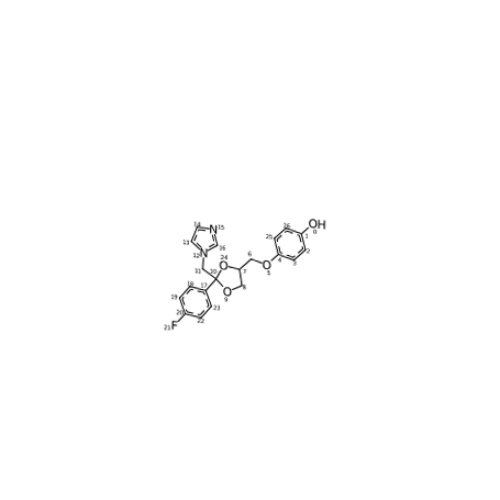 Oc1ccc(OCC2COC(Cn3ccnc3)(c3ccc(F)cc3)O2)cc1